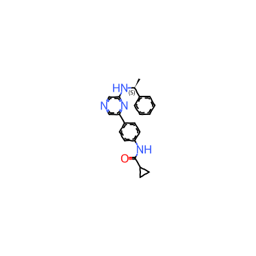 C[C@H](Nc1cncc(-c2ccc(NC(=O)C3CC3)cc2)n1)c1ccccc1